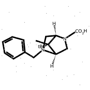 CC(C)(C)[C@@]1(C)[C@H]2CN(C(=O)O)[C@@H]1CN2Cc1ccccc1